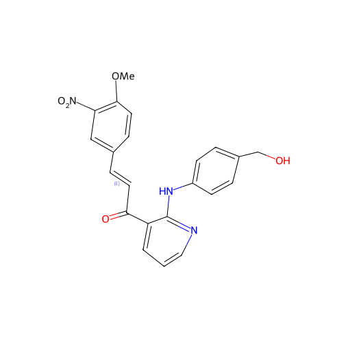 COc1ccc(/C=C/C(=O)c2cccnc2Nc2ccc(CO)cc2)cc1[N+](=O)[O-]